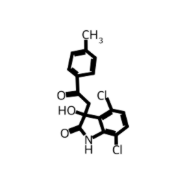 Cc1ccc(C(=O)CC2(O)C(=O)Nc3c(Cl)ccc(Cl)c32)cc1